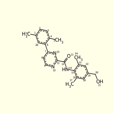 Cc1ccc(C)c(-c2ccnc(C(=O)Nc3c(C)cc(CO)cc3C)n2)c1